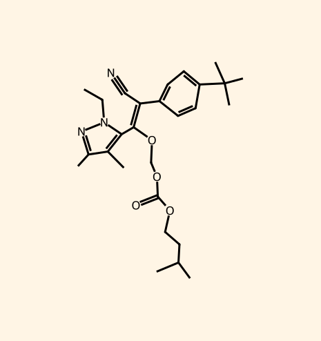 CCn1nc(C)c(C)c1/C(OCOC(=O)OCCC(C)C)=C(\C#N)c1ccc(C(C)(C)C)cc1